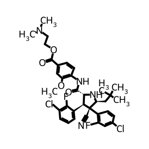 COc1cc(C(=O)OCCN(C)C)ccc1NC(=O)[C@@H]1N[C@@H](CC(C)(C)C)[C@](C#N)(c2ccc(Cl)cc2F)[C@H]1c1cccc(Cl)c1F